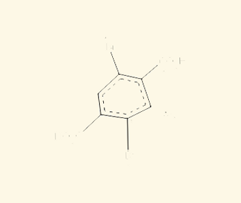 O=C(O)c1cc(Br)c(C(=O)O)cc1Br.[Ag]